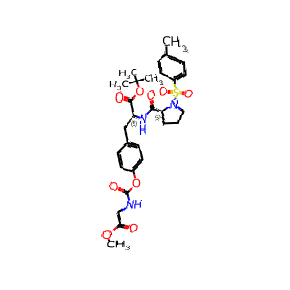 COC(=O)CNC(=O)Oc1ccc(C[C@H](NC(=O)[C@@H]2CCCN2S(=O)(=O)c2ccc(C)cc2)C(=O)OC(C)(C)C)cc1